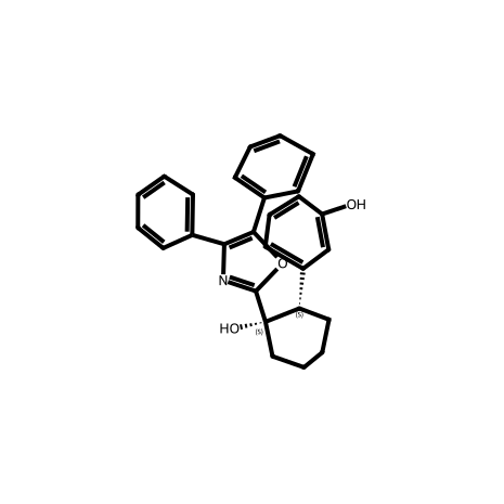 Oc1cccc([C@@H]2CCCC[C@@]2(O)c2nc(-c3ccccc3)c(-c3ccccc3)o2)c1